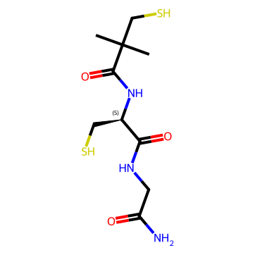 CC(C)(CS)C(=O)N[C@H](CS)C(=O)NCC(N)=O